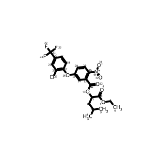 CCOC(=O)C(CC(C)C)OC(=O)c1cc(Oc2ccc(C(F)(F)F)cc2Cl)ccc1[N+](=O)[O-]